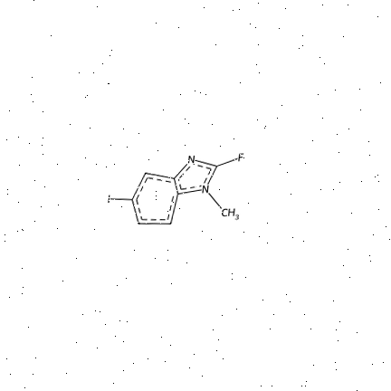 Cn1c(F)nc2cc(I)ccc21